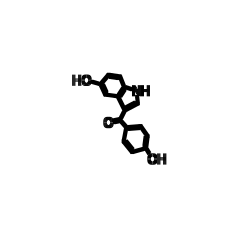 O=C(c1ccc(O)cc1)c1c[nH]c2ccc(O)cc12